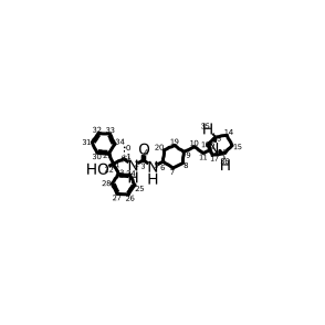 C[C@H](NC(=O)NC1CCC(CCN2[C@H]3CC[C@H]2CC3)CC1)C(O)(c1ccccc1)c1ccccc1